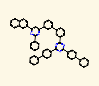 c1ccc(-c2ccc(-c3nc(-c4ccc(-c5ccccc5)cc4)nc(-c4cccc(-c5cccc(-c6cc(-c7ccc8ccccc8c7)nc(-c7ccccc7)n6)c5)c4)n3)cc2)cc1